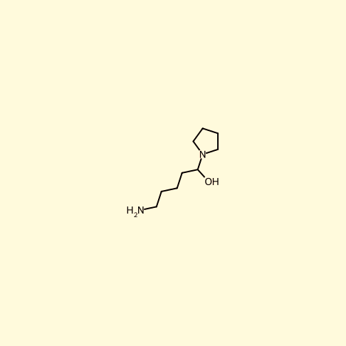 NCCCCC(O)N1CCCC1